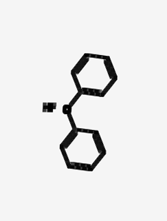 F.c1ccc(Oc2ccccc2)cc1